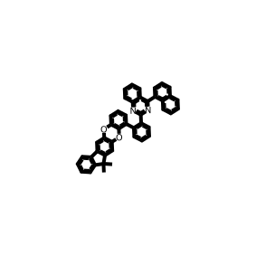 CC1(C)c2ccccc2-c2cc3c(cc21)Oc1c(cccc1-c1ccccc1-c1nc(-c2cccc4ccccc24)c2ccccc2n1)O3